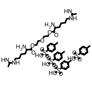 CC(=N)NCCCCC(N)C(=O)OCCOCCOC(=O)C(N)CCCCNC(C)=N.Cc1ccc(S(=O)(=O)O)cc1.Cc1ccc(S(=O)(=O)O)cc1.Cc1ccc(S(=O)(=O)O)cc1.Cc1ccc(S(=O)(=O)O)cc1